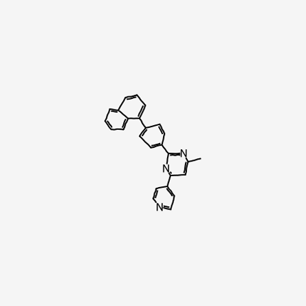 Cc1cc(-c2ccncc2)nc(-c2ccc(-c3cccc4ccccc34)cc2)n1